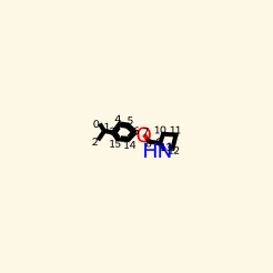 CC(C)c1ccc(OCC2CCCN2)cc1